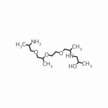 CC(N)COCC(C)OCCOCC(C)NCC(C)O